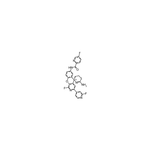 NC1=N[C@@]2(CCS1)c1cc(NC(=O)c3ccc(F)cn3)ccc1Oc1c2cc(-c2ccnc(F)c2)nc1F